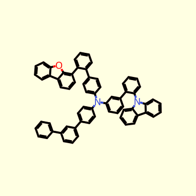 c1ccc(-c2cccc(-c3ccc(N(c4ccc(-c5ccccc5-c5cccc6c5oc5ccccc56)cc4)c4cccc(-c5ccccc5-n5c6ccccc6c6ccccc65)c4)cc3)c2)cc1